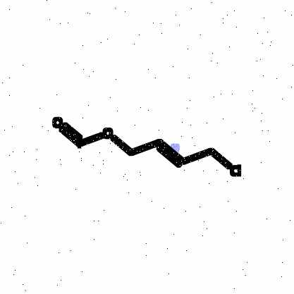 O=[C]OC/C=C/CCl